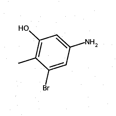 Cc1c(O)cc(N)cc1Br